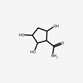 NC(=O)C1C(O)CC(O)C1O